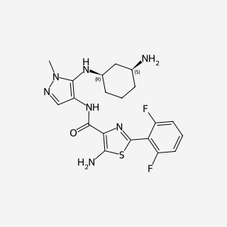 Cn1ncc(NC(=O)c2nc(-c3c(F)cccc3F)sc2N)c1N[C@@H]1CCC[C@H](N)C1